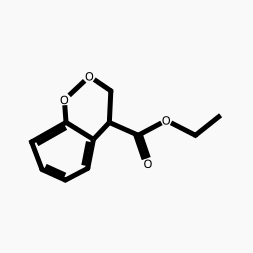 CCOC(=O)C1COOc2ccccc21